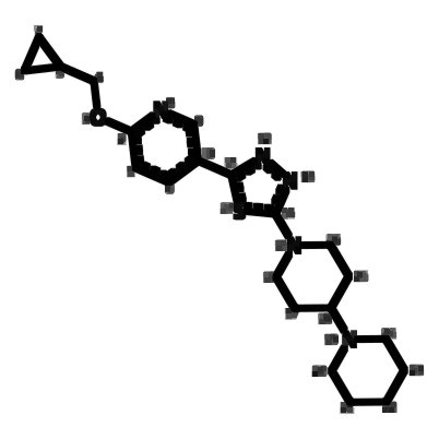 c1cc(OCC2CC2)ncc1-c1nnc(N2CCC(N3CCCCC3)CC2)s1